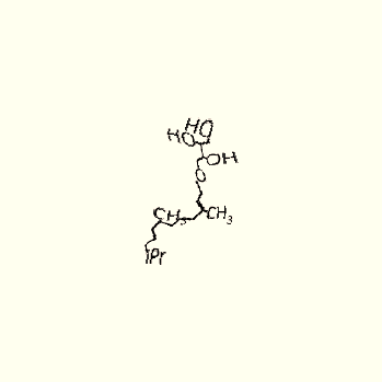 CC(=CCCOCC(O)C(O)CO)CCCC(C)CCCC(C)C